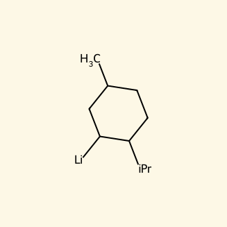 [Li][CH]1CC(C)CCC1C(C)C